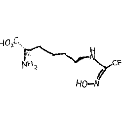 N[C@@H](CCCCNC(=NO)C(F)(F)F)C(=O)O